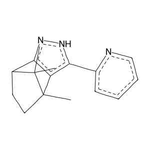 CC12CCC(c3n[nH]c(-c4ccccn4)c31)C2(C)C